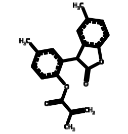 C=C(C)C(=O)Oc1ccc(C)cc1C1C(=O)Oc2ccc(C)cc21